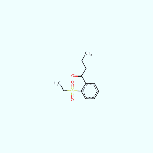 CCCC(=O)c1ccccc1S(=O)(=O)CC